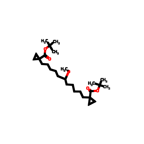 COC(CCCCCC1(C(=O)OC(C)(C)C)CC1)CCCCCC1(C(=O)OC(C)(C)C)CC1